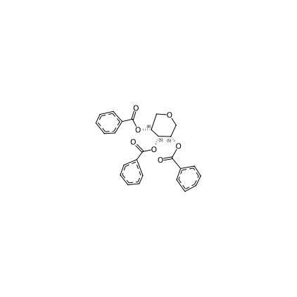 O=C(O[C@H]1[C@@H](OC(=O)c2ccccc2)COC[C@H]1OC(=O)c1ccccc1)c1ccccc1